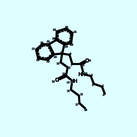 CCCCNC(=O)CCC1(CCC(=O)NCCCC)c2ccccc2-c2ccccc21